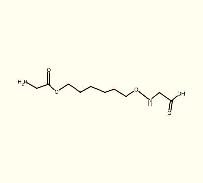 NCC(=O)OCCCCCCONCC(=O)O